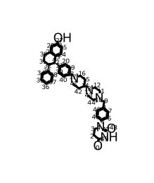 O=C1CCN(c2ccc(CN3CCN(C4CCN(c5ccc([C@@H]6c7ccc(O)cc7CC[C@@H]6c6ccccc6)cc5)CC4)CC3)cc2)C(=O)N1